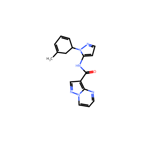 CC1=CC=CC(n2nccc2NC(=O)c2cnn3cccnc23)C1